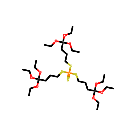 CCO[Si](CCCSP(=S)(SCCC[Si](OCC)(OCC)OCC)SCCC[Si](OCC)(OCC)OCC)(OCC)OCC